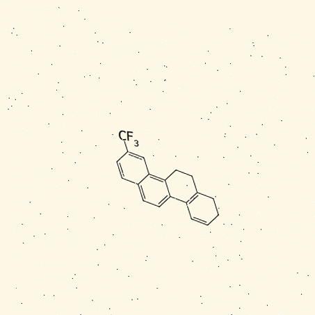 FC(F)(F)c1ccc2ccc3c(c2c1)CCC1=C3C=CCC1